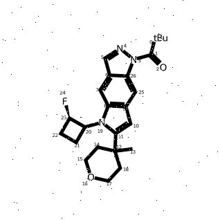 CC(C)(C)C(=O)n1ncc2cc3c(cc(C4(C)CCOCC4)n3C3CC[C@H]3F)cc21